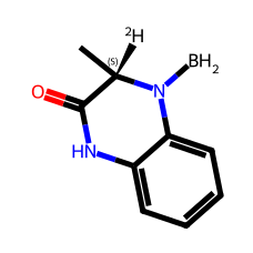 [2H][C@]1(C)C(=O)Nc2ccccc2N1B